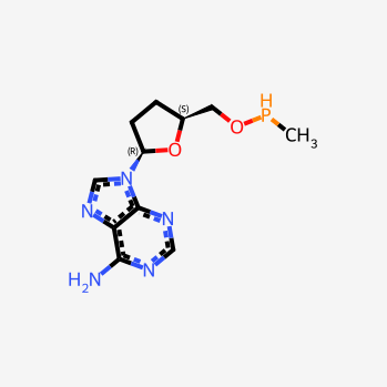 CPOC[C@@H]1CC[C@H](n2cnc3c(N)ncnc32)O1